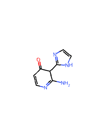 NC1=NC=CC(=O)C1c1ncc[nH]1